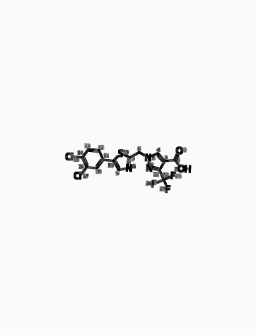 O=C(O)c1cn(Cc2ncc(-c3ccc(Cl)c(Cl)c3)s2)nc1C(F)(F)F